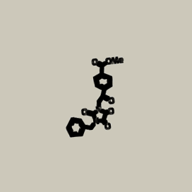 COC(=O)c1ccc(C(=O)CN2C(=O)C(=O)N(Cc3ccccc3)C2=O)cc1